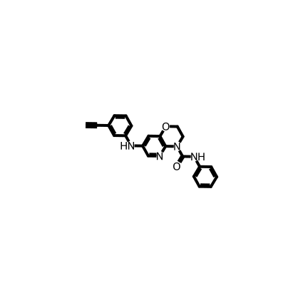 C#Cc1cccc(Nc2cnc3c(c2)OCCN3C(=O)Nc2ccccc2)c1